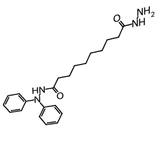 NNC(=O)CCCCCCCCC(=O)NN(c1ccccc1)c1ccccc1